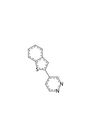 [c]1nnccc1-c1cc2ccccc2s1